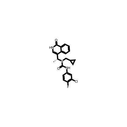 C[C@H](c1c[nH]c(=O)c2ccccc12)N(CC1CC1)C(=O)Nc1ccc(F)c(Cl)c1